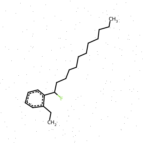 [CH2]Cc1ccccc1C(F)CCCCCCCCCCC